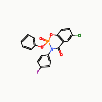 O=C1c2cc(Cl)ccc2OP(=O)(Oc2ccccc2)N1c1ccc(I)cc1